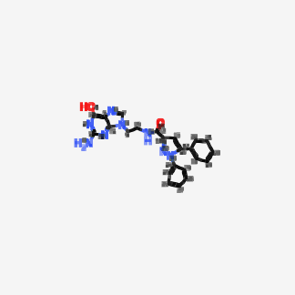 Nc1nc(O)c2ncn(CCNC(=O)c3cc(-c4ccccc4)n(-c4ccccc4)n3)c2n1